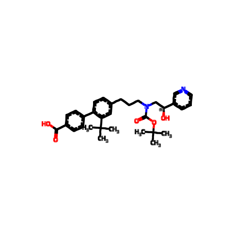 CC(C)(C)OC(=O)N(CCCc1ccc(-c2ccc(C(=O)O)cc2)c(C(C)(C)C)c1)C[C@H](O)c1cccnc1